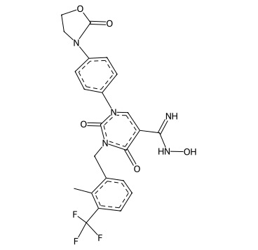 Cc1c(Cn2c(=O)c(C(=N)NO)cn(-c3ccc(N4CCOC4=O)cc3)c2=O)cccc1C(F)(F)F